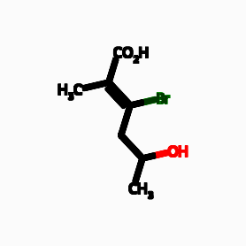 CC(C(=O)O)=C(Br)CC(C)O